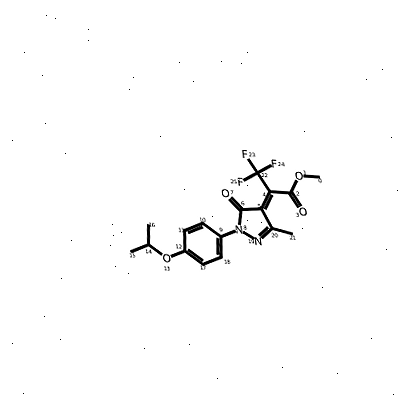 COC(=O)C(=C1C(=O)N(c2ccc(OC(C)C)cc2)N=C1C)C(F)(F)F